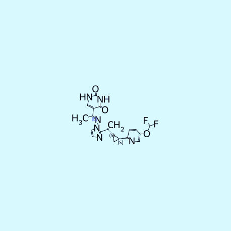 C=C(c1nccn1/N=C(\C)c1c[nH]c(=O)[nH]c1=O)[C@H]1C[C@@H]1c1ccc(OC(F)F)cn1